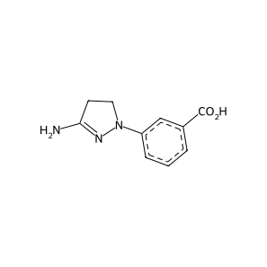 NC1=NN(c2cccc(C(=O)O)c2)CC1